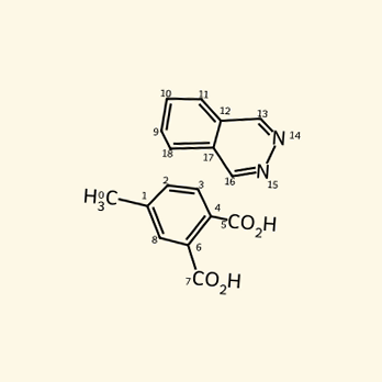 Cc1ccc(C(=O)O)c(C(=O)O)c1.c1ccc2cnncc2c1